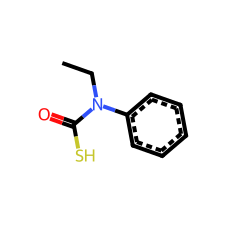 CCN(C(=O)S)c1ccccc1